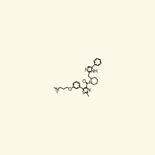 Cc1nc(C(=O)N2CCCCC2Cc2ncc(-c3ccccc3)[nH]2)c(-c2cccc(OCCCN(C)C)c2)s1